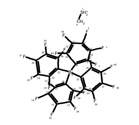 C[SH2+].Fc1c(F)c(F)c([B-](c2c(F)c(F)c(F)c(F)c2F)(c2c(F)c(F)c(F)c(F)c2F)c2c(F)c(F)c(F)c(F)c2F)c(F)c1F